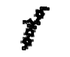 COc1ccc(C2ON2C(CC(C)C)S(=O)(=O)N2CCN(c3ccc(Cl)cc3)CC2)cc1